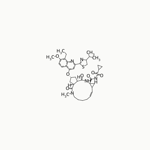 CCc1c(OC)ccc2c(O[C@@H]3C[C@H]4C(=O)N[C@]5(C(=O)NS(=O)(=O)C6CC6)CC5/C=C\CCCCN(C)C(=O)[C@@H]4C3)cc(C3=NC(C(C)C)CS3)nc12